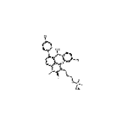 Cn1c(=O)n(CCCO[Si](C)(C)C(C)(C)C)c(=O)c2c(C(O)c3ccc(Cl)cc3)c(-c3ccc(Cl)cc3)ncc21